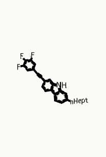 CCCCCCCc1ccc2c(c1)[nH]c1cc(C#Cc3cc(F)c(F)c(F)c3)ccc12